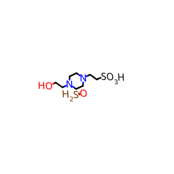 O=S(=O)(O)CCN1CCN(CCO)CC1.O=[SH2]